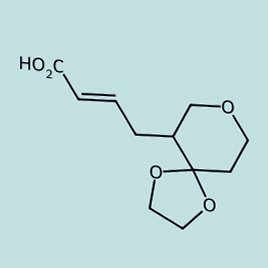 O=C(O)C=CCC1COCCC12OCCO2